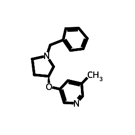 Cc1cncc(O[C@H]2CCN(Cc3ccccc3)C2)c1